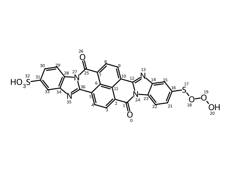 O=c1c2ccc3c4c(ccc(c24)c2nc4cc(SOOO)ccc4n12)c(=O)n1c2ccc(S(=O)(=O)O)cc2nc31